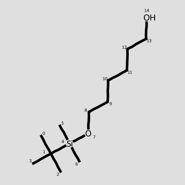 CC(C)(C)[Si](C)(C)OCCCCCCO